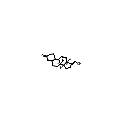 C[C@]12C=CC3=C4CCC(=O)C=C4CC[C@H]3[C@@H]1CCC2=CC#N